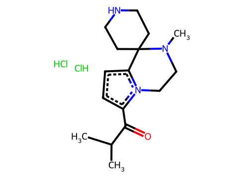 CC(C)C(=O)c1ccc2n1CCN(C)C21CCNCC1.Cl.Cl